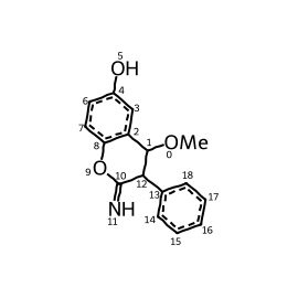 COC1c2cc(O)ccc2OC(=N)C1c1ccccc1